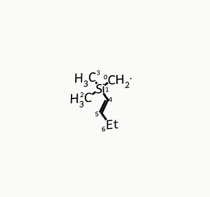 [CH2][Si](C)(C)C=CCC